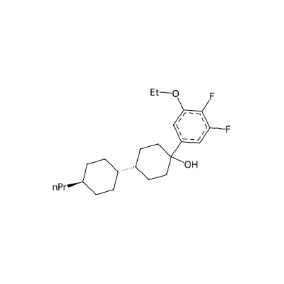 CCC[C@H]1CC[C@H](C2CCC(O)(c3cc(F)c(F)c(OCC)c3)CC2)CC1